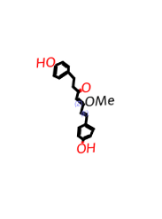 COC(=C\C(=O)CCc1ccc(O)cc1)/C=C/c1ccc(O)cc1